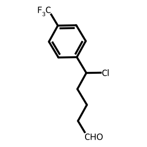 O=CCCCC(Cl)c1ccc(C(F)(F)F)cc1